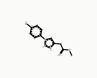 COC(=O)Cc1cn(-c2ccc(Cl)cc2)nn1